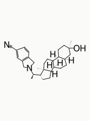 C[C@H]([C@H]1CC[C@H]2[C@@H]3CC[C@@H]4C[C@](C)(O)CC[C@@H]4[C@H]3CC[C@]12C)N1Cc2ccc(C#N)cc2C1